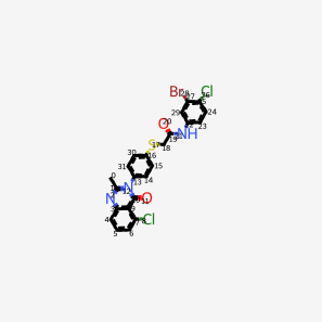 Cc1nc2cccc(Cl)c2c(=O)n1-c1ccc(SCC(=O)Nc2ccc(Cl)c(Br)c2)cc1